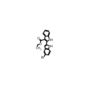 CCOC(=O)c1c(-c2cc3cc(Br)ccc3[nH]2)[nH]c2ccccc12